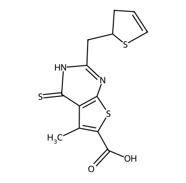 Cc1c(C(=O)O)sc2nc(CC3CC=CS3)[nH]c(=S)c12